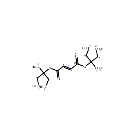 O=C(O)CC(CC(=O)O)(OC(=O)/C=C/C(=O)OC(CC(=O)O)(CC(=O)O)C(=O)O)C(=O)O